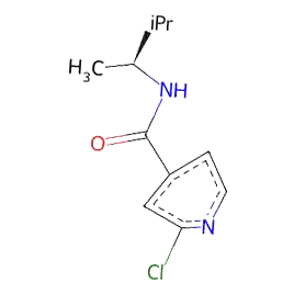 CC(C)[C@H](C)NC(=O)c1ccnc(Cl)c1